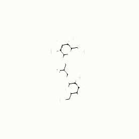 CC(C)NC(COC1OC(CO)[C@@H](O)[C@@H](O)[C@@H]1O)COC1OC(CO)[C@@H](O)[C@H](O)[C@@H]1O